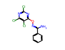 NC(=NOc1nc(Cl)nc(Cl)c1Cl)c1ccccc1